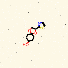 OC1CCC2(CC1)OCC(c1nccs1)O2